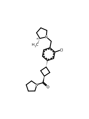 C[C@@H]1CCCN1Cc1ccc([C@H]2C[C@H](C(=O)N3CCCC3)C2)cc1Cl